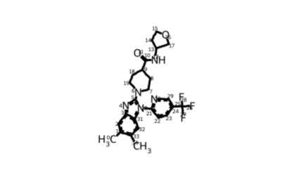 Cc1cc2nc(N3CCC(C(=O)NC4CCOC4)CC3)n(-c3ccc(C(F)(F)F)cn3)c2cc1C